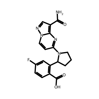 NC(=O)c1cnn2ccc(N3CCCC3c3cc(F)ccc3C(=O)O)nc12